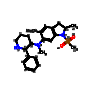 COc1cc2c(cc1N(C)[C@@H]1CCCN[C@@H]1c1ccccc1)N(S(C)(=O)=O)C(C)C2